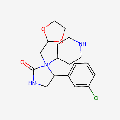 O=C1NCC(c2cccc(Cl)c2)[N+]1(CC1OCCO1)C1CCNCC1